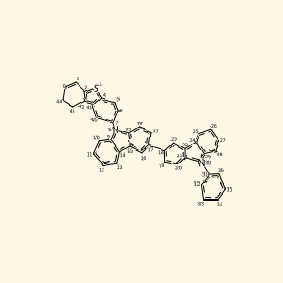 C1=Cc2sc3ccc(-n4c5ccccc5c5cc(-c6ccc7c(c6)c6ccccc6n7-c6ccccc6)ccc54)cc3c2CC1